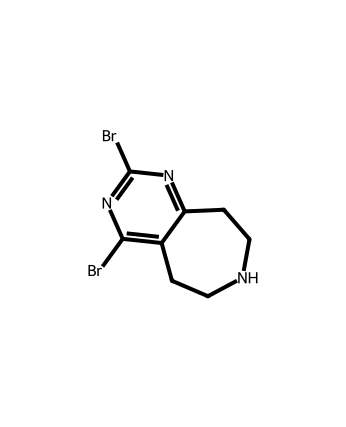 Brc1nc(Br)c2c(n1)CCNCC2